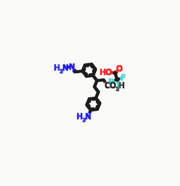 NN=Cc1cccc(C(CCc2ccc(N)cc2)CC(=O)O)c1.O=C(O)C(F)(F)F